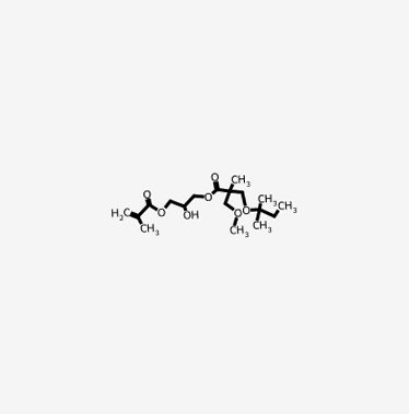 C=C(C)C(=O)OCC(O)COC(=O)C(C)(COC)COC(C)(C)CC